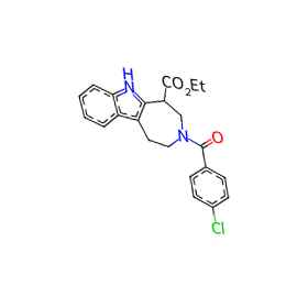 CCOC(=O)C1CN(C(=O)c2ccc(Cl)cc2)CCc2c1[nH]c1ccccc21